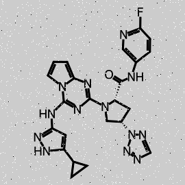 O=C(Nc1ccc(F)nc1)[C@@H]1C[C@H](n2ncnn2)CN1c1nc(Nc2cc(C3CC3)[nH]n2)n2cccc2n1